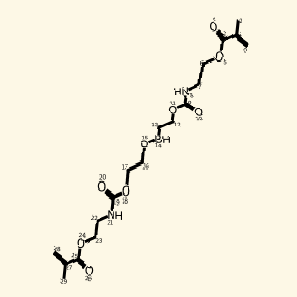 C=C(C)C(=O)OCCNC(=O)OCCBOCCOC(=O)NCCOC(=O)C(=C)C